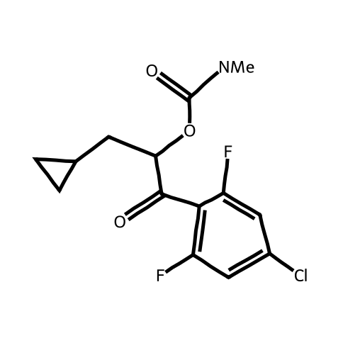 CNC(=O)OC(CC1CC1)C(=O)c1c(F)cc(Cl)cc1F